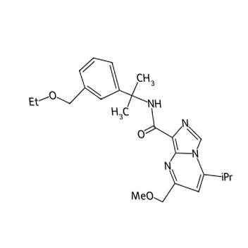 CCOCc1cccc(C(C)(C)NC(=O)c2ncn3c(C(C)C)cc(COC)nc23)c1